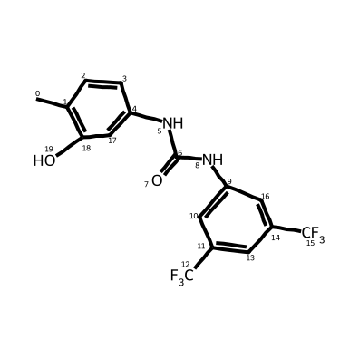 Cc1ccc(NC(=O)Nc2cc(C(F)(F)F)cc(C(F)(F)F)c2)cc1O